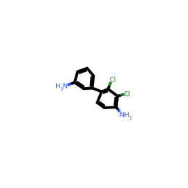 Nc1cccc(-c2ccc(N)c(Cl)c2Cl)c1